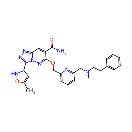 CC1=CC(c2nnc3cc(C(N)=O)c(OCc4cccc(CNCCc5ccccc5)n4)nn23)NO1